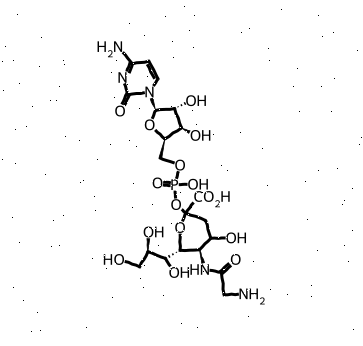 NCC(=O)N[C@@H]1C(O)CC(OP(=O)(O)OC[C@H]2O[C@@H](n3ccc(N)nc3=O)[C@H](O)[C@H]2O)(C(=O)O)O[C@H]1C(O)[C@H](O)CO